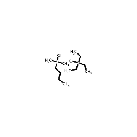 CCCC[Si](C)(C)Cl.CC[Si](Cl)(CC)CC